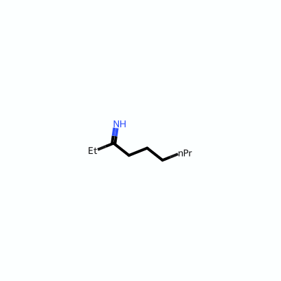 [CH2]CC(=N)CCCCCC